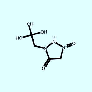 O=C1C[N+](=O)NN1CC(O)(O)O